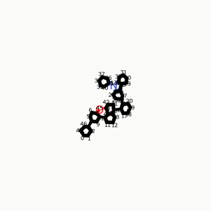 c1ccc(-c2ccc3c(c2)-c2cccc4c(-c5ccccc5-c5ccc6c(c5)c5ccccc5n6-c5ccccc5)ccc(c24)O3)cc1